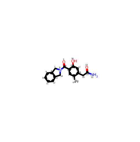 CC(C)c1cc(C(=O)N2Cc3ccccc3C2)c(O)cc1CC(N)=O